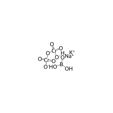 OB(O)O.[K+].[Na+].[O]=[Cr](=[O])([O-])[O][Cr](=[O])(=[O])[O-]